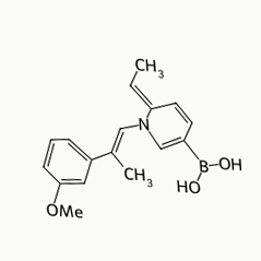 CC=C1C=CC(B(O)O)=CN1/C=C(\C)c1cccc(OC)c1